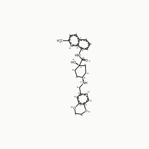 Cc1ccc2cccc(NC(=O)[C@]3(O)CC[C@@H](NCc4cc5c(cn4)OCCO5)CC3)c2n1